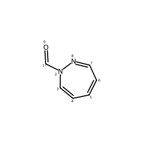 O=[C]N1C=CC=CC=N1